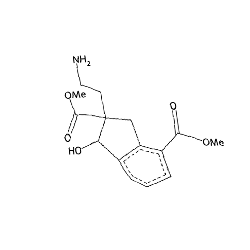 COC(=O)c1cccc2c1CC(CCN)(C(=O)OC)C2O